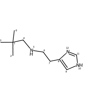 CC(C)(C)CNCCc1c[nH]cn1